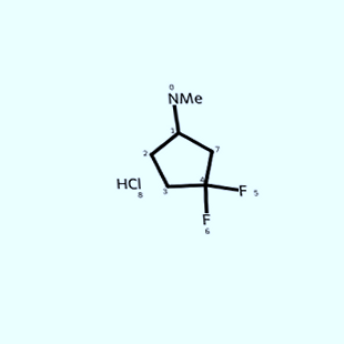 CNC1CCC(F)(F)C1.Cl